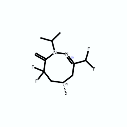 C=C1N(C(C)C)/N=C(/C(F)F)C[C@H](C)CC1(F)F